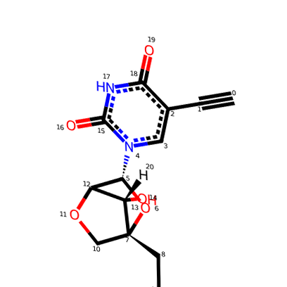 C#Cc1cn([C@@H]2O[C@]3(CC)COC2[C@@H]3O)c(=O)[nH]c1=O